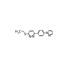 CCSc1ccc(-c2ccc(-n3cccn3)cc2)nn1